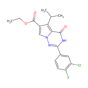 CCOC(=O)c1cn2nc(-c3ccc(F)c(Cl)c3)[nH]c(=O)c2c1C(C)C